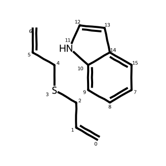 C=CCSCC=C.c1ccc2[nH]ccc2c1